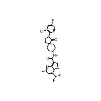 Cc1cc(C(F)F)n2ncc(C(=O)N[C@H]3CC[C@]4(CCN(c5ccc(F)cc5Cl)C4=O)CC3)c2n1